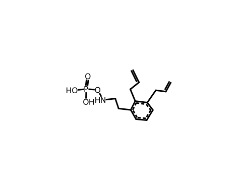 C=CCc1cccc(CCNOP(=O)(O)O)c1CC=C